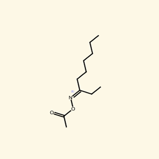 CCCCCC/C(CC)=N/OC(C)=O